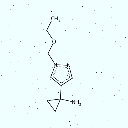 CCOCn1cc(C2(N)CC2)cn1